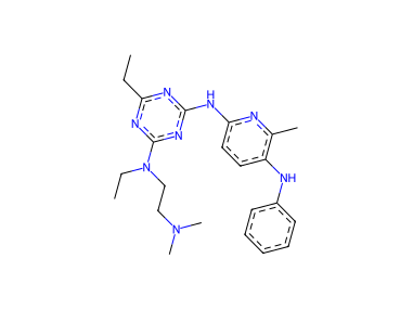 CCc1nc(Nc2ccc(Nc3ccccc3)c(C)n2)nc(N(CC)CCN(C)C)n1